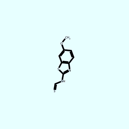 COc1ccc2nc(NC=S)sc2c1